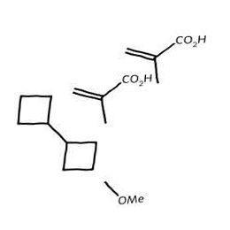 C1CC(C2CCC2)C1.C=C(C)C(=O)O.C=C(C)C(=O)O.COC